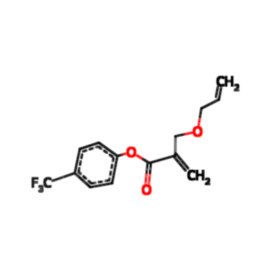 C=CCOCC(=C)C(=O)Oc1ccc(C(F)(F)F)cc1